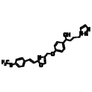 OC(CCCn1ccnn1)c1ccc(OCc2coc(C=Cc3ccc(SC(F)(F)F)cc3)n2)cc1